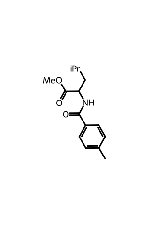 COC(=O)C(CC(C)C)NC(=O)c1ccc(C)cc1